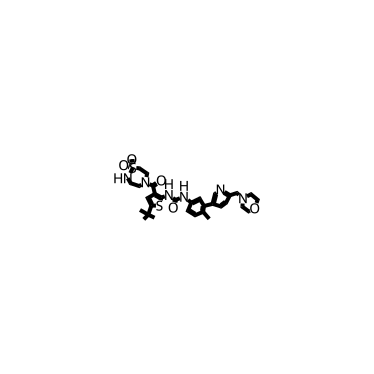 Cc1ccc(NC(=O)Nc2sc(C(C)(C)C)cc2C(=O)N2CCNS(=O)(=O)CC2)cc1-c1ccc(CN2CCOCC2)nc1